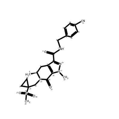 C[C@H]1Cc2c(C(=O)NCc3ccc(C#N)cc3)nn(C)c2C(=O)N1CC1(S(C)(=O)=O)CC1